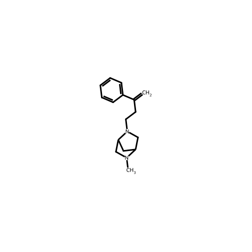 C=C(CCN1CC2CC1CN2C)c1ccccc1